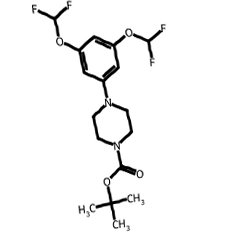 CC(C)(C)OC(=O)N1CCN(c2cc(OC(F)F)cc(OC(F)F)c2)CC1